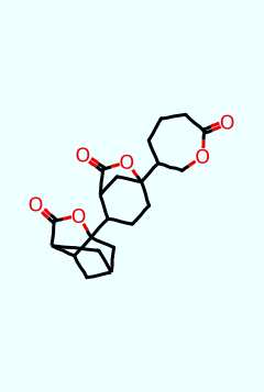 O=C1CCCC(C23CCC(C45CC6CC(C(=O)O4)C5C6)C(C2)C(=O)O3)CO1